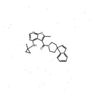 Cc1oc2ncnc(NC3(C)CC3)c2c1C(=O)N1CCC2(C=Cc3ccccc32)CC1